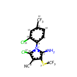 N#Cc1c(SC(F)(F)F)c(N)n(-c2ccc(C(F)(F)F)cc2Cl)c1Cl